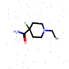 CC(C)CN1CCC(F)(C(N)=O)CC1